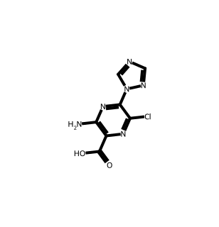 Nc1nc(-n2cncn2)c(Cl)nc1C(=O)O